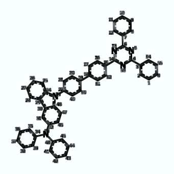 c1ccc(-c2nc(-c3ccccc3)nc(-c3ccc(-c4ccc(-n5c6ccccc6c6cc(N(c7ccccc7)c7ccccc7)ccc65)cc4)cc3)n2)cc1